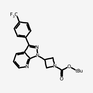 CC(C)(C)OC(=O)N1CC(n2nc(-c3ccc(C(F)(F)F)cc3)c3cccnc32)C1